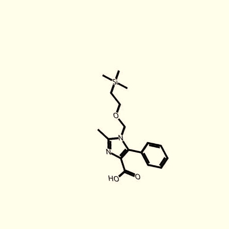 Cc1nc(C(=O)O)c(-c2ccccc2)n1COCC[Si](C)(C)C